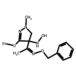 CCOC1=NN(C)CC1(NO)C(C)=NOCc1ccccc1